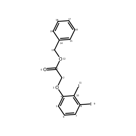 O=C(COc1cccc(I)c1I)OCc1ccccc1